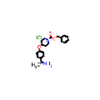 C[C@H](N)c1ccc(OC2CCN(C(=O)OCc3ccccc3)CC2)cc1.Cl